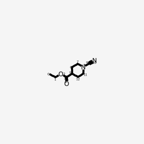 CCOC(=O)C1CCN(C#N)CC1